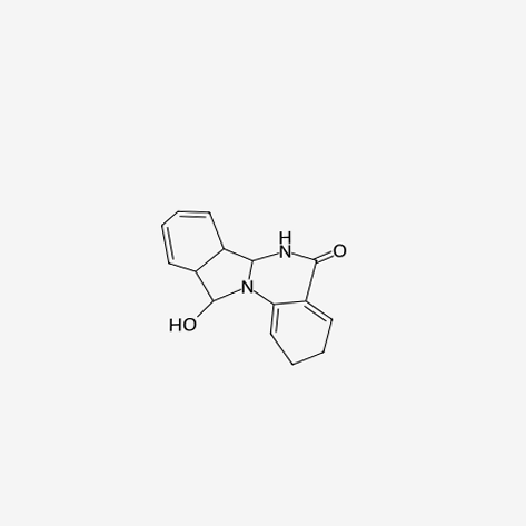 O=C1NC2C3C=CC=CC3C(O)N2C2=CCCC=C12